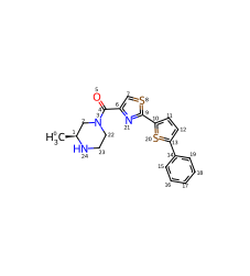 C[C@H]1CN(C(=O)c2csc(-c3ccc(-c4ccccc4)s3)n2)CCN1